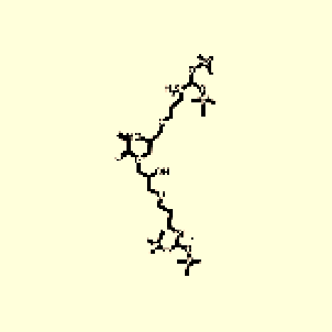 C=CC(=O)N(CC(O)COCCC[SiH2]C(O[Si](C)(C)C)O[Si](C)(C)C)CC(O)COCCC[SiH2]C(O[Si](C)(C)C)O[Si](C)(C)C